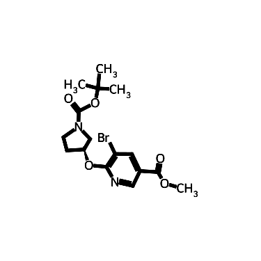 COC(=O)c1cnc(O[C@H]2CCN(C(=O)OC(C)(C)C)C2)c(Br)c1